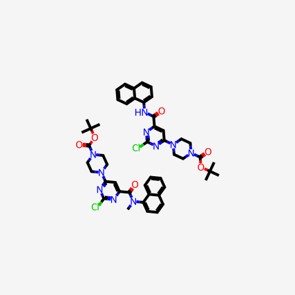 CC(C)(C)OC(=O)N1CCN(c2cc(C(=O)Nc3cccc4ccccc34)nc(Cl)n2)CC1.CN(C(=O)c1cc(N2CCN(C(=O)OC(C)(C)C)CC2)nc(Cl)n1)c1cccc2ccccc12